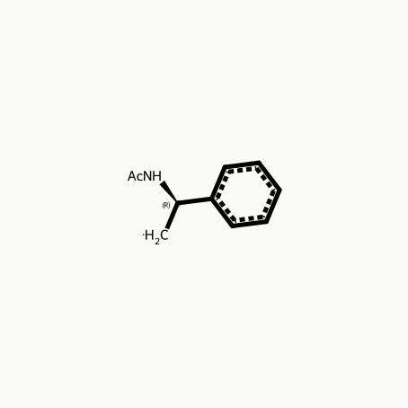 [CH2][C@@H](NC(C)=O)c1ccccc1